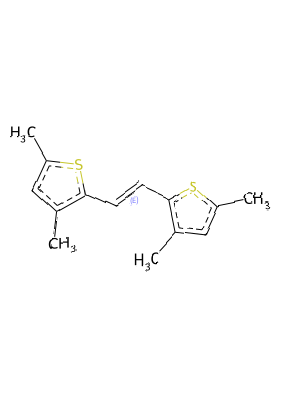 Cc1cc(C)c(/C=C/c2sc(C)cc2C)s1